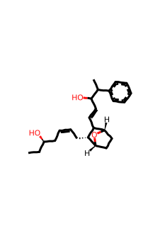 CC[C@@H](O)C/C=C\C[C@@H]1C(/C=C/C(O)C(C)c2ccccc2)[C@@H]2CC[C@H]1O2